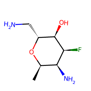 C[C@H]1O[C@H](CN)[C@@H](O)[C@@H](F)[C@H]1N